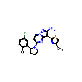 Cc1csc(-c2c(N)nn3ccc(N4CCCC4c4cc(F)ccc4C)nc23)n1